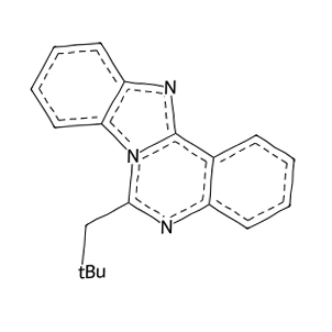 CC(C)(C)Cc1nc2ccccc2c2nc3ccccc3n12